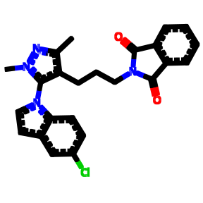 Cc1nn(C)c(-n2ccc3cc(Cl)ccc32)c1CCCN1C(=O)c2ccccc2C1=O